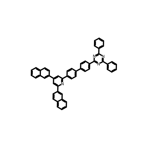 c1ccc(-c2nc(-c3ccccc3)nc(-c3ccc(-c4ccc(-c5cc(-c6ccc7ccccc7c6)cc(-c6ccc7ccccc7c6)n5)cc4)cc3)n2)cc1